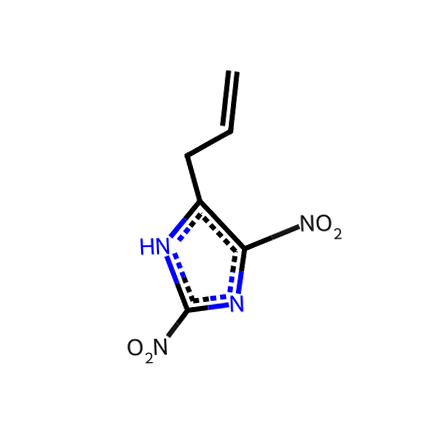 C=CCc1[nH]c([N+](=O)[O-])nc1[N+](=O)[O-]